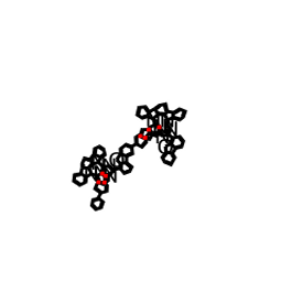 c1ccc(-c2ccc(-c3nc(-c4cccc5c4oc4ccc(-c6ccc(-c7cccc(-n8c9ccccc9c9ccc%10c%11ccccc%11n(-c%11nc(-c%12ccccc%12)nc(-c%12cccc%13c%12oc%12ccccc%12%13)n%11)c%10c98)c7)cc6)cc45)nc(-n4c5ccccc5c5ccc6c7ccccc7n(-c7ccccc7)c6c54)n3)cc2)cc1